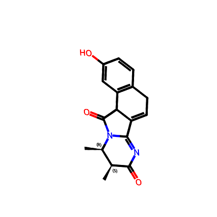 C[C@@H]1C(=O)N=C2C3=CCc4ccc(O)cc4C3C(=O)N2[C@@H]1C